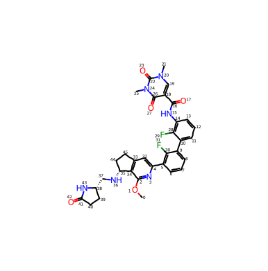 COc1nc(-c2cccc(-c3cccc(NC(=O)c4cn(C)c(=O)n(C)c4=O)c3F)c2F)cc2c1[C@H](NC[C@@H]1CCC(=O)N1)CC2